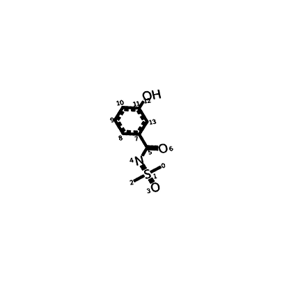 CS(C)(=O)=NC(=O)c1cccc(O)c1